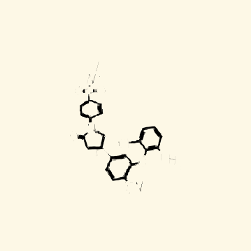 Cc1cccc(Cl)c1Oc1cc([C@H]2CC(=O)N(c3ccc(S(N)(=O)=O)cc3)C2)ccc1C#N